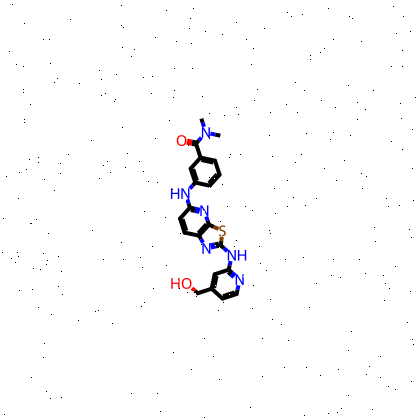 CN(C)C(=O)c1cccc(Nc2ccc3nc(Nc4cc(CO)ccn4)sc3n2)c1